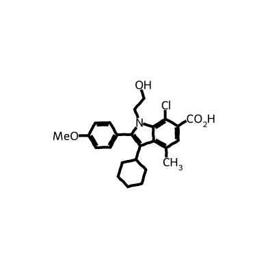 COc1ccc(-c2c(C3CCCCC3)c3c(C)cc(C(=O)O)c(Cl)c3n2CCO)cc1